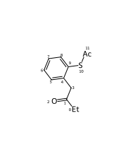 CCC(=O)Cc1ccccc1SC(C)=O